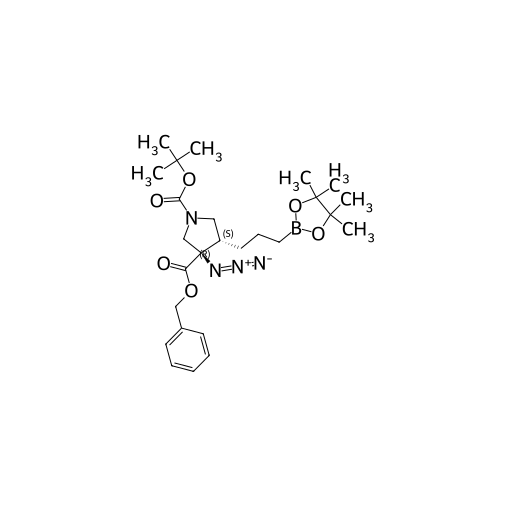 CC(C)(C)OC(=O)N1C[C@H](CCCB2OC(C)(C)C(C)(C)O2)[C@](N=[N+]=[N-])(C(=O)OCc2ccccc2)C1